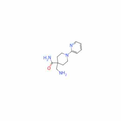 NCC1(C(N)=O)CCN(c2ccccn2)CC1